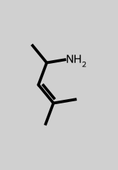 CC(C)=CC(C)N